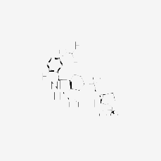 CC(C)NC1=C(C(=N)c2cc(OC(F)F)ccc2F)CC[C@@H](C(=O)N[C@@]2(C)CCS(=O)(=O)C2)C1